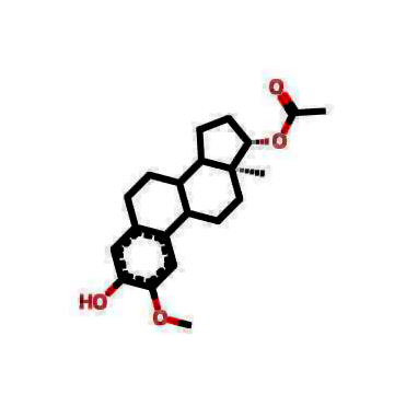 COc1cc2c(cc1O)CCC1C2CC[C@@]2(C)C1CC[C@@H]2OC(C)=O